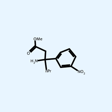 CCCC(N)(CC(=O)OC)c1cccc([N+](=O)[O-])c1